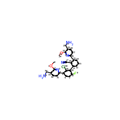 COc1nc(-c2ccc(F)c(-c3cccc(-c4ccc(CN)c(OC)n4)c3C#N)c2Cl)ccc1CN